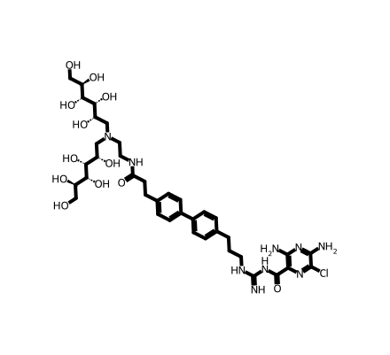 N=C(NCCCc1ccc(-c2ccc(CCC(=O)NCCN(C[C@H](O)[C@@H](O)[C@H](O)[C@H](O)CO)C[C@H](O)[C@@H](O)[C@H](O)[C@H](O)CO)cc2)cc1)NC(=O)c1nc(Cl)c(N)nc1N